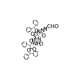 O=C/C=N/N1CCN([C@]2(C(=O)OC(c3ccccc3)c3ccccc3)CN3C(=O)[C@@H](NC(=O)C(C(=O)OC(c4ccccc4)c4ccccc4)c4ccccc4)[C@H]3S2)C1=O